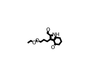 CCOOCCCc1c(C=O)[nH]c2c1C(=O)CCC2